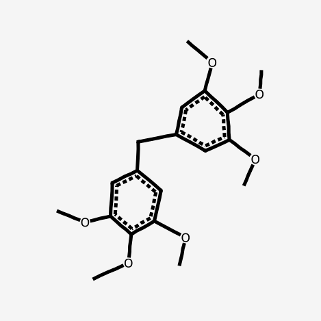 COc1cc(Cc2cc(OC)c(OC)c(OC)c2)cc(OC)c1OC